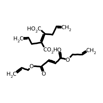 C=CC/C(C(=O)O)=C(/CC=C)C(=O)O.C=CCOC(=O)/C=C/C(=O)OCC=C